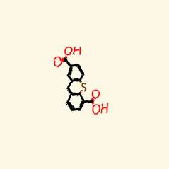 O=C(O)c1ccc2c(c1)Cc1cccc(C(=O)O)c1S2